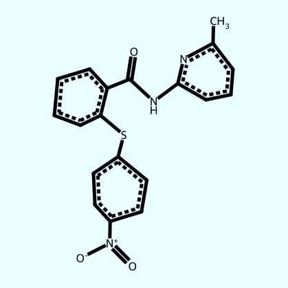 Cc1cccc(NC(=O)c2ccccc2Sc2ccc([N+](=O)[O-])cc2)n1